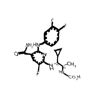 C[C@H](NC(=O)O)[C@H](Nc1nc(Nc2ccc(F)c(F)c2)c(C(N)=O)cc1F)C1CC1